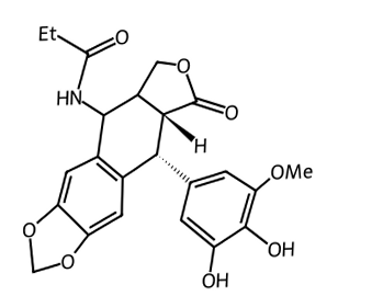 CCC(=O)NC1c2cc3c(cc2[C@@H](c2cc(O)c(O)c(OC)c2)[C@H]2C(=O)OCC12)OCO3